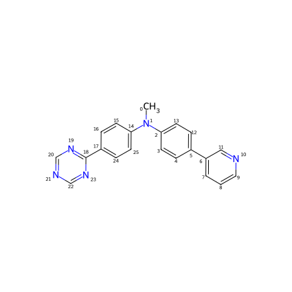 CN(c1ccc(-c2cccnc2)cc1)c1ccc(-c2ncncn2)cc1